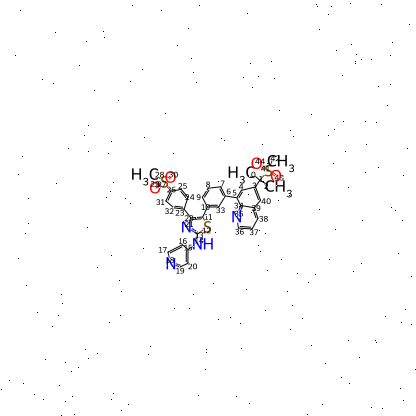 CC(C)(c1cc(-c2cccc(-c3sc(Nc4ccncc4)nc3-c3ccc(S(C)(=O)=O)cc3)c2)c2ncccc2c1)S(C)(=O)=O